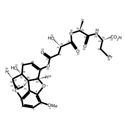 COc1ccc2c3c1O[C@@H]1C(OC(=O)C[C@H](O)C(=O)O[C@@H](C)C(=O)N[C@@H](CC(C)C)C(=O)O)=CC[C@]4(O)[C@@H](CCC[C@@]314)C2